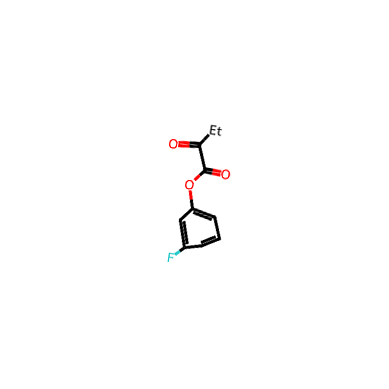 CCC(=O)C(=O)Oc1cccc(F)c1